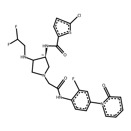 O=C(CN1CC(NCC(F)F)[C@@H](NC(=O)c2ccc(Cl)s2)C1)Nc1ccc(-n2ccccc2=O)cc1F